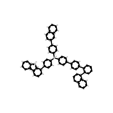 c1ccc(-c2cccc3ccccc23)c(-c2ccc(-c3ccc(N(c4ccc(-c5ccc6ccccc6c5)cc4)c4ccc(-c5cccc6c5oc5ccccc56)cc4)cc3)cc2)c1